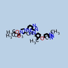 Cc1cc(Nc2ncnc3ccc(N4CCN(C(=O)OC(C)(C)C)C[C@@H]4C)nc23)ccc1Oc1ccc2c(c1)nnn2C